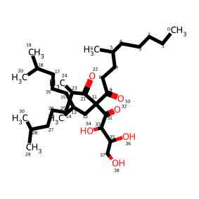 CCCCCC(C)CCC(=O)C(CC(C)CCCC(C)C)(C(=O)C(C)CCCC(C)C)C(=O)C(O)C(O)CO